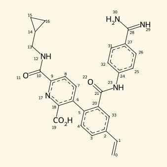 C=Cc1ccc(-c2ccc(C(=O)NCC3CC3)nc2C(=O)O)c(C(=O)Nc2ccc(C(=N)N)cc2)c1